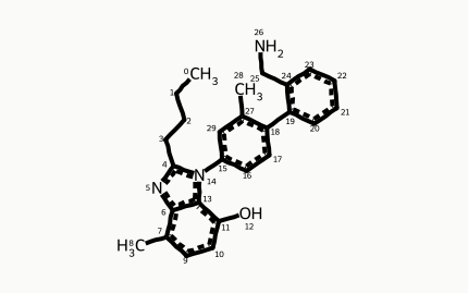 CCCCc1nc2c(C)ccc(O)c2n1-c1ccc(-c2ccccc2CN)c(C)c1